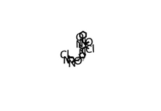 O=c1c(Cl)c(N2CC[C@@H](Oc3cc(Cl)ncn3)C2)cnn1C1CCCCO1